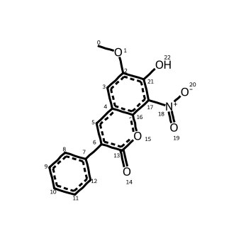 COc1cc2cc(-c3ccccc3)c(=O)oc2c([N+](=O)[O-])c1O